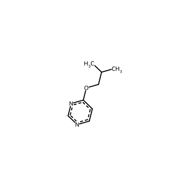 CC(C)COc1ccn[c]n1